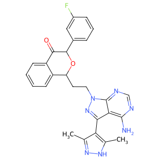 Cc1n[nH]c(C)c1-c1nn(CCC2OC(c3cccc(F)c3)C(=O)c3ccccc32)c2ncnc(N)c12